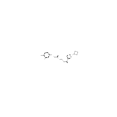 C=C(CCNC(=O)COc1ccc(Cl)c(F)c1)c1cnn(C2CCC2)n1